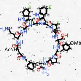 COc1ccc(C[C@@H]2NC(=O)[C@H]([C@@H](C)O)NC(=O)[C@@H]3C[C@H](F)CN3C(=O)[C@H](Cc3c[nH]c4ccc(F)cc34)NC(=O)[C@H](Cc3c[nH]c4ccc(F)cc34)NC(=O)[C@H](C)NC(=O)[C@H](CCCCN)NC(=O)[C@@H](NC(C)=O)CC(=O)NCc3ccccc3C[C@@H](C(N)=O)NC(=O)[C@]3(C)CCCN3C2=O)cc1